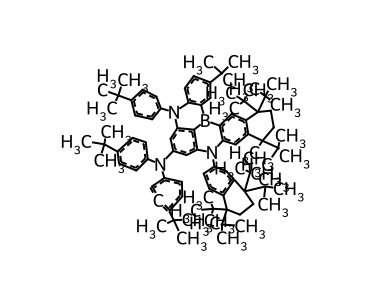 CC(C)(C)c1ccc(N(c2ccc(C(C)(C)C)cc2)c2cc3c4c(c2)N(c2ccc5c(c2)C(C(C)(C)C)(C(C)(C)C)CCC5(C(C)(C)C)C(C)(C)C)c2cc5c(cc2B4c2cc(C(C)(C)C)ccc2N3c2ccc(C(C)(C)C)cc2)C(C(C)(C)C)(C(C)(C)C)CCC5(C)C(C)(C)C)cc1